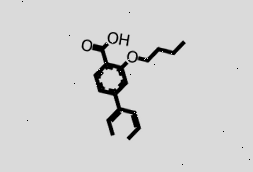 C/C=C\C(=C/C)c1ccc(C(=O)O)c(OCCCC)c1